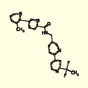 Cc1cccnc1-c1ccc(C(=O)NCc2ccc(-c3ccnc(C(C)(F)F)c3)nc2)nc1